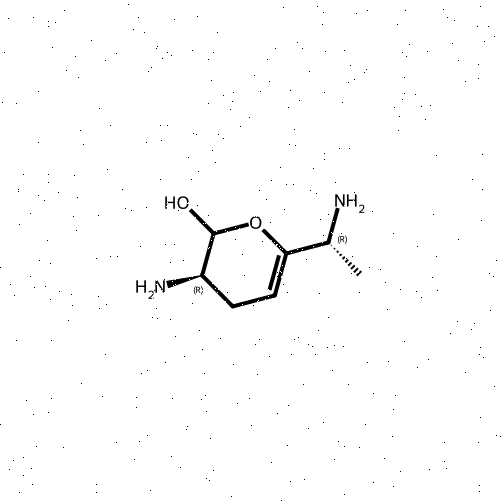 C[C@@H](N)C1=CC[C@@H](N)C(O)O1